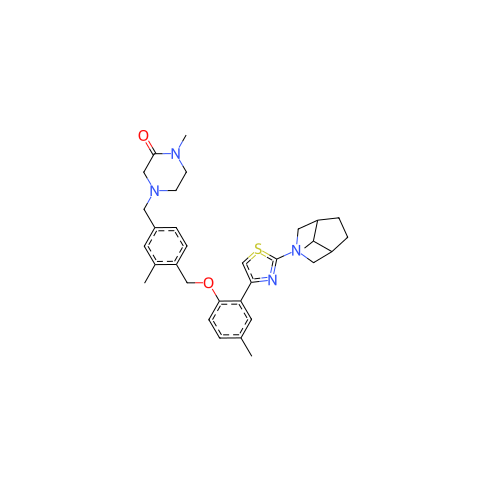 Cc1ccc(OCc2ccc(CN3CCN(C)C(=O)C3)cc2C)c(-c2csc(N3CC4CCC(C3)C4C)n2)c1